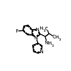 CC(C)C(N)c1nc2ccc(F)cc2n1-c1cccnc1